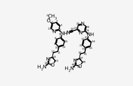 COc1ccc(Nc2ccc(CC[C@H]3COC(N)=N3)cc2)nc1.N#Cc1cncc(Nc2ccc(CC[C@H]3COC(N)=N3)cc2)n1